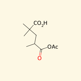 CC(=O)OC(=O)C(C)CC(C)(C)C(=O)O